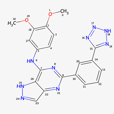 COc1ccc(Nc2nc(-c3cccc(-c4nn[nH]n4)c3)nc3cn[nH]c23)cc1OC